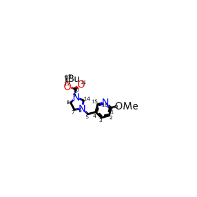 COc1ccc(CN2CCN(C(=O)OC(C)(C)C)C2)cn1